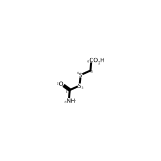 [NH]C(=O)SS[CH]C(=O)O